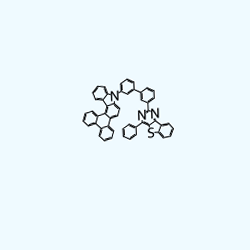 c1ccc(-c2nc(-c3cccc(-c4cccc(-n5c6ccccc6c6c7c8ccccc8c8ccccc8c7ccc65)c4)c3)nc3c2sc2ccccc23)cc1